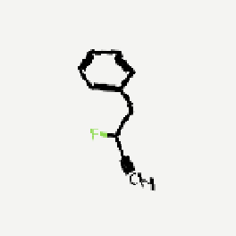 C#CC(F)Cc1ccccc1